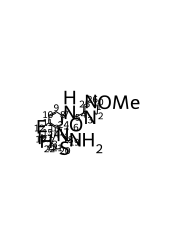 COc1cnc(C(=O)Nc2ccc(F)c([C@@]3(CF)N=C(N)SC4C[C@H]43)c2)cn1